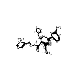 Cn1cncc1CONC(=O)c1c(N)nc(-c2cccc(C#N)c2)nc1O[C@H]1CCOC1